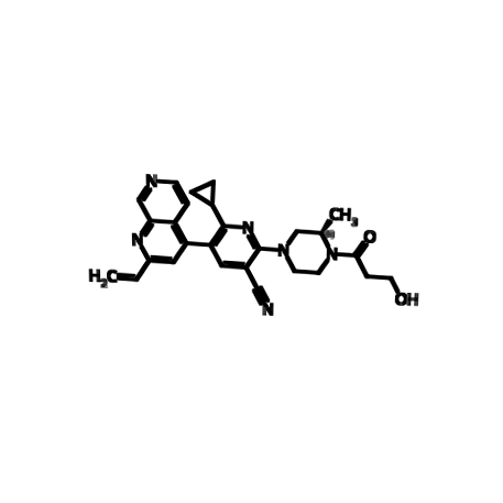 C=Cc1cc(-c2cc(C#N)c(N3CCN(C(=O)CCO)[C@H](C)C3)nc2C2CC2)c2ccncc2n1